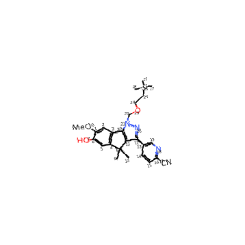 COc1cc2c(cc1O)C(C)(C)c1c(-c3ccc(C#N)nc3)nn(COCC[Si](C)(C)C)c1-2